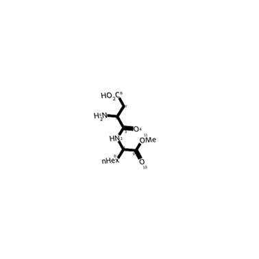 CCCCCCC(NC(=O)C(N)CC(=O)O)C(=O)OC